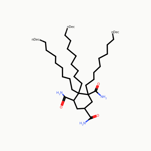 CCCCCCCCCCCCCCCCCCC1(C(N)=O)CC(C(N)=O)CC(C(N)=O)C1(CCCCCCCCCCCCCCCCCC)CCCCCCCCCCCCCCCCCC